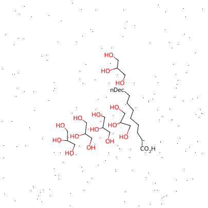 CCCCCCCCCCCCCCCCCC(=O)O.OCC(O)CO.OCC(O)CO.OCC(O)CO.OCC(O)CO.OCC(O)CO